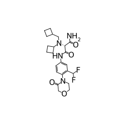 NC(=O)[C@H](C(=O)Nc1ccc(N2CCOCC2=O)c(C(F)F)c1)N(CC1CCC1)C1CCC1